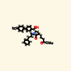 COC(=O)CCC[C@@H]1C[C@@H](C(O)c2ccc(-c3ccc(C#N)cc3)cc2)N(CCCc2ccccc2)C1=O